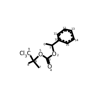 CC(OC(=O)OC(C)(C)C(Cl)(Cl)Cl)c1ccccc1